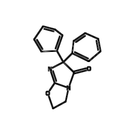 O=C1N2CCOC2=NC1(c1ccccc1)c1ccccc1